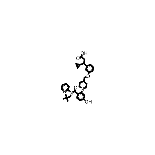 CC(C)(C)CN(C(=O)c1ccc(O)cc1N1CCC(COc2cccc(C(CC(=O)O)C3CC3)c2)CC1)c1ccccn1